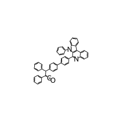 O=C=C(c1ccccc1)C(c1ccccc1)c1ccc(-c2ccc(-c3nc4ccccc4c4c5ccccc5n(-c5ccccc5)c34)cc2)cc1